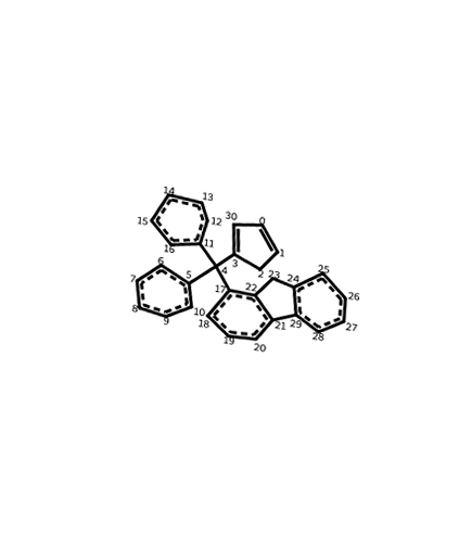 C1=CCC(C(c2ccccc2)(c2ccccc2)c2cccc3c2Cc2ccccc2-3)=C1